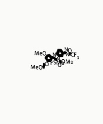 COCCOc1cc(OC)cc(C(=Nc2ccc(-c3noc(C(F)(F)F)n3)cc2)/C(=N/C(=O)OC)SC)c1F